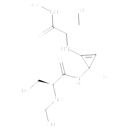 CCN[C@@H](CS)C(=O)N[C@]1(C)C=C1N[C@@H](CS)C(=O)NC